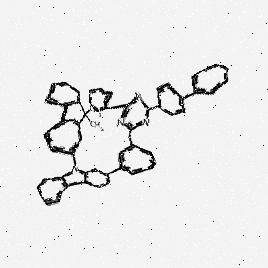 CC1(C)c2ccccc2-c2ccc(-n3c4ccccc4c4ccc(-c5cccc(-c6nc(-c7ccccc7)nc(-c7ccc(-c8ccccc8)cc7)n6)c5)cc43)cc21